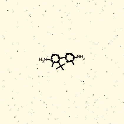 Cc1cc(-c2ccc(N)c(C)c2C(C)(C)C)ccc1N